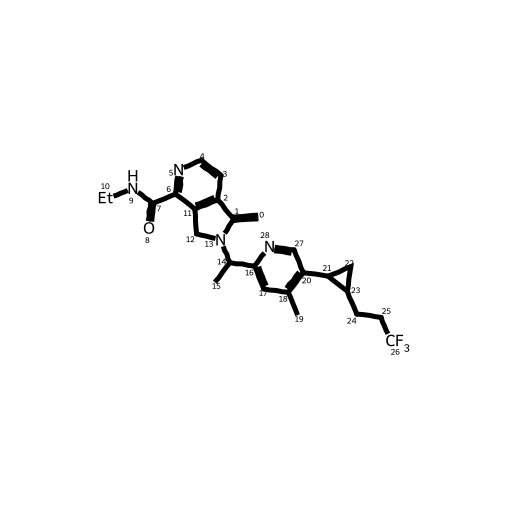 C=C1c2ccnc(C(=O)NCC)c2CN1C(C)c1cc(C)c(C2CC2CCC(F)(F)F)cn1